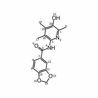 Cc1nc(NC(=O)c2ccc3c(c2)OCO3)c(C)c(C)c1O